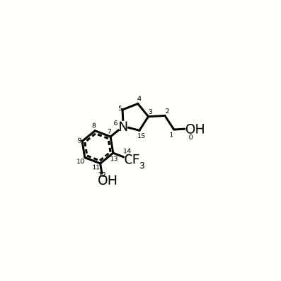 OCCC1CCN(c2cccc(O)c2C(F)(F)F)C1